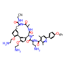 Cc1cc(-c2ccc(OC(C)C)cc2)nc(C)c1C(=O)NC(CCN)C(=O)N(C)C1C(=O)NC(C)C(=O)NC(C(=O)NCC#N)Cc2ccc(OCCN)c(c2)-c2cc1ccc2OCCN